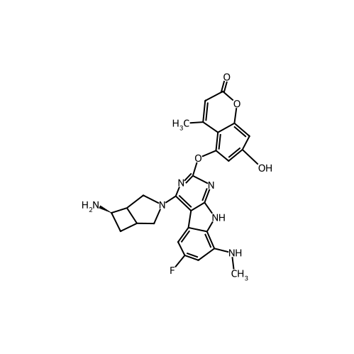 CNc1cc(F)cc2c1[nH]c1nc(Oc3cc(O)cc4oc(=O)cc(C)c34)nc(N3CC4C[C@@H](N)C4C3)c12